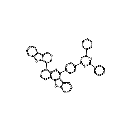 c1ccc(-c2cc(-c3ccc(-c4nc5c(-c6cccc7c6oc6ccccc67)cccc5c5oc6ccccc6c45)cc3)nc(-c3ccccc3)n2)cc1